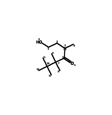 CN(CCO)C(=O)C(C)(C)C(C)(C)C